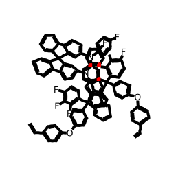 C=Cc1ccc(Oc2ccc(C3(c4ccc(F)c(F)c4F)c4ccccc4-c4ccc(N(c5ccc(F)cc5)c5ccc6c(c5)C5(c7ccccc7-6)c6ccccc6-c6ccc(N(c7ccc(F)cc7)c7ccc8c(c7)C(c7ccc(Oc9ccc(C=C)cc9)cc7)(c7ccc(F)c(F)c7F)c7ccccc7-8)cc65)cc43)cc2)cc1